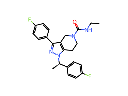 CCNC(=O)N1CCc2c(c(-c3ccc(F)cc3)nn2[C@H](C)c2ccc(F)cc2)C1